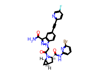 NC(=O)c1nn(CC(=O)N2[C@@H]3C[C@@H]3C[C@H]2C(=O)Nc2cccc(Br)n2)c2ccc(C#Cc3ccc(F)cn3)cc12